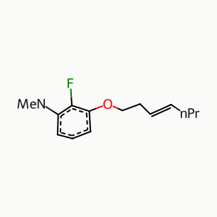 CCCC=CCCOc1cccc(NC)c1F